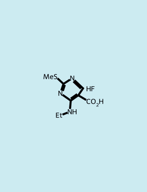 CCNc1nc(SC)ncc1C(=O)O.F